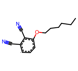 CCCCCCOc1cc[c]c(C#N)c1C#N